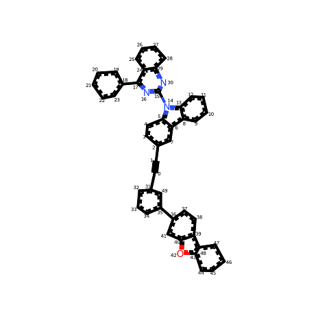 C(#Cc1ccc2c(c1)c1ccccc1n2-c1nc(-c2ccccc2)c2ccccc2n1)c1cccc(-c2ccc3c(c2)oc2ccccc23)c1